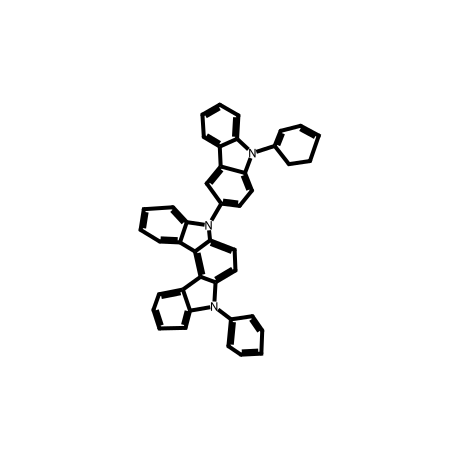 C1=CCCC(n2c3ccccc3c3cc(-n4c5ccccc5c5c6c7ccccc7n(-c7ccccc7)c6ccc54)ccc32)=C1